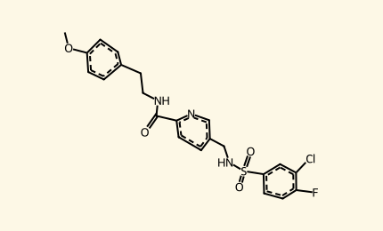 COc1ccc(CCNC(=O)c2ccc(CNS(=O)(=O)c3ccc(F)c(Cl)c3)cn2)cc1